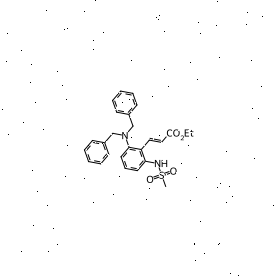 CCOC(=O)C=Cc1c(NS(C)(=O)=O)cccc1N(Cc1ccccc1)Cc1ccccc1